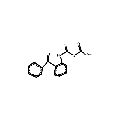 CNC(=O)OC(=O)Nc1ccccc1C(=O)c1ccccc1